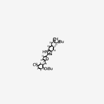 CC(C)COc1ccc(Cl)cc1Cc1ccc(-c2nc3ccc(CN(C)CC(C)(C)C)cc3[nH]2)o1